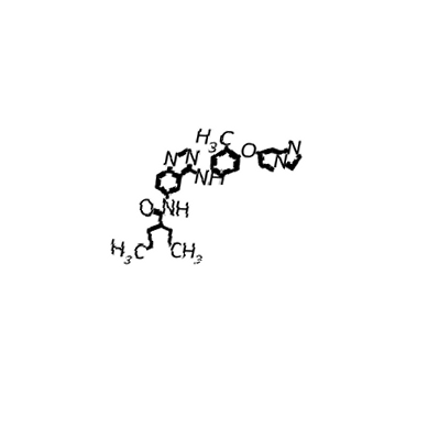 CCCC(CCC)C(=O)Nc1ccc2ncnc(Nc3ccc(Oc4ccn5ccnc5c4)c(C)c3)c2c1